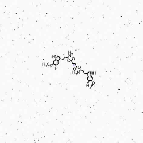 COc1cc2[nH]cc(CCC(N)OC(=O)/C=C/C(=O)OC(N)CCc3c[nH]c4cc(OC)c(F)cc34)c2cc1F